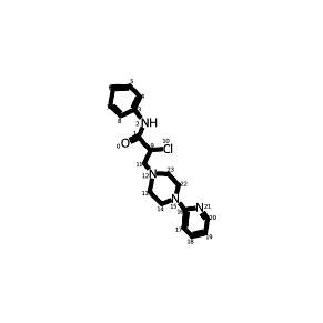 O=C(Nc1ccccc1)C(Cl)CN1CCN(c2ccccn2)CC1